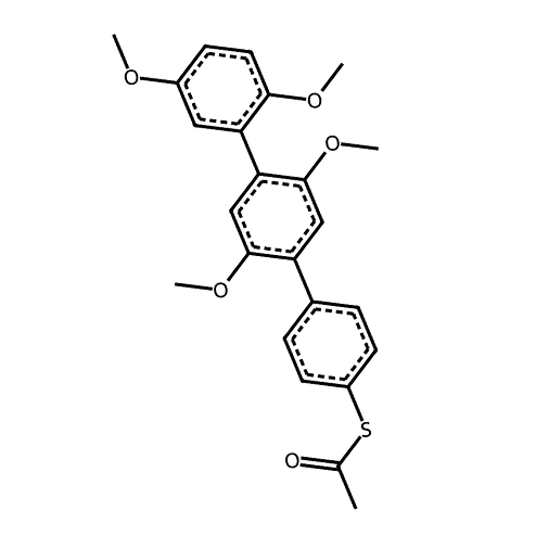 COc1ccc(OC)c(-c2cc(OC)c(-c3ccc(SC(C)=O)cc3)cc2OC)c1